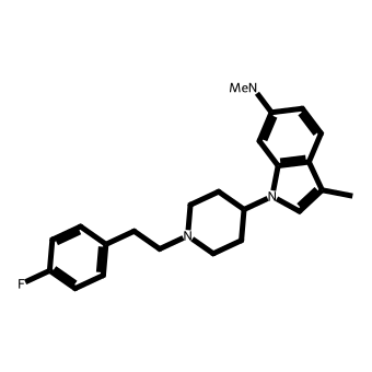 CNc1ccc2c(C)cn(C3CCN(CCc4ccc(F)cc4)CC3)c2c1